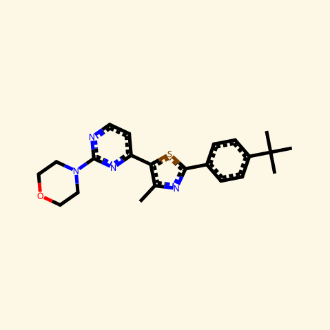 Cc1nc(-c2ccc(C(C)(C)C)cc2)sc1-c1ccnc(N2CCOCC2)n1